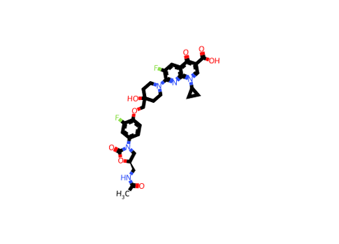 CC(=O)NC[C@@H]1CN(c2ccc(OCC3(O)CCN(c4nc5c(cc4F)c(=O)c(C(=O)O)cn5C4CC4)CC3)c(F)c2)C(=O)O1